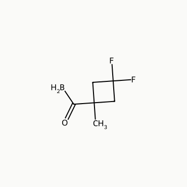 BC(=O)C1(C)CC(F)(F)C1